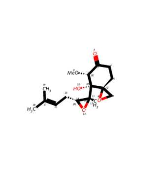 CO[C@@H]1C(=O)CC[C@]2(CO2)[C@@]1(O)[C@]1(C)O[C@@H]1CC=C(C)C